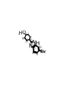 OC1CCC(c2nc3ccc(Br)cc3[nH]2)CC1